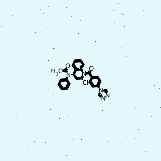 CC(=O)N(c1ccccc1)[C@H]1C[C@@H](C)N(C(=O)c2ccc(-n3cnnc3)cc2)c2ccccc21